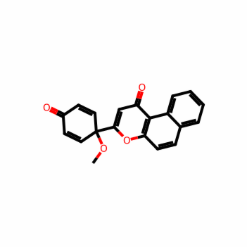 COC1(c2cc(=O)c3c(ccc4ccccc43)o2)C=CC(=O)C=C1